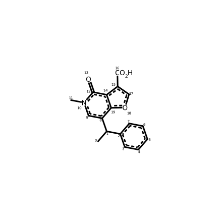 CC(c1ccccc1)c1cn(C)c(=O)c2c(C(=O)O)coc12